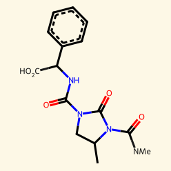 CNC(=O)N1C(=O)N(C(=O)NC(C(=O)O)c2ccccc2)CC1C